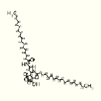 CCCCCCCCC=CCCCCCCCC(=O)NCCC(NC(=O)CCCCCCCC=CCCCCCCCC)C(CC(=O)O)C(=O)O